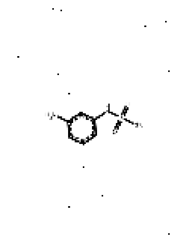 CC(C)(C)S(=O)(=O)Nc1cccc(N)c1